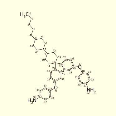 CCCCCC1CCC(C2CCC(c3ccc(Oc4ccc(N)cc4)cc3)(c3ccc(Oc4ccc(N)cc4)cc3)CC2)CC1